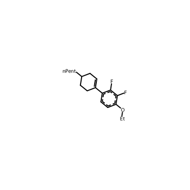 CCCCCC1CC=C(c2ccc(OCC)c(F)c2F)CC1